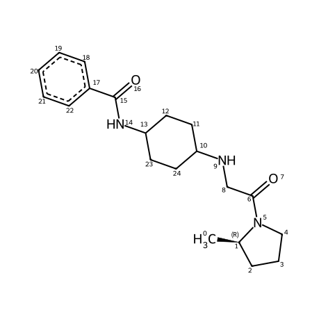 C[C@@H]1CCCN1C(=O)CNC1CCC(NC(=O)c2ccccc2)CC1